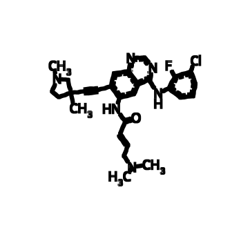 CN(C)C/C=C/C(=O)Nc1cc2c(Nc3cccc(Cl)c3F)ncnc2cc1C#CC1(C)CCN(C)C1